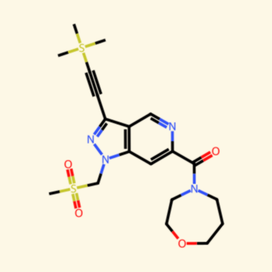 CS(C)(C)C#Cc1nn(CS(C)(=O)=O)c2cc(C(=O)N3CCCOCC3)ncc12